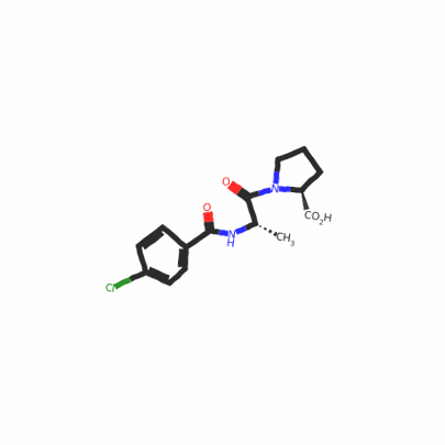 C[C@H](NC(=O)c1ccc(Cl)cc1)C(=O)N1CCC[C@H]1C(=O)O